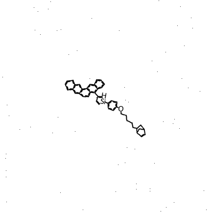 C1=C[SiH](c2ccc(OCCCCCC3CC4C=CC3C4)cc2)C=C1c1c2ccccc2cc2c1ccc1cc3ccccc3cc12